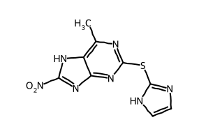 Cc1nc(Sc2ncc[nH]2)nc2nc([N+](=O)[O-])[nH]c12